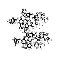 CC(C)[C@H](NC(=O)[C@H](Cc1ccccc1)NC(=O)[C@@H](NC(=O)[C@@H]1CCCN1C(=O)[C@H](CCCCN)NC(=O)[C@H](Cc1c[nH]cn1)NC(=O)CN)C(C)C)C(=O)[O-].CC(C)[C@H](NC(=O)[C@H](Cc1ccccc1)NC(=O)[C@@H](NC(=O)[C@@H]1CCCN1C(=O)[C@H](CCCCN)NC(=O)[C@H](Cc1c[nH]cn1)NC(=O)CN)C(C)C)C(=O)[O-].[Cu+2]